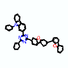 c1ccc(-c2nc(-c3ccc4c(c3)oc3cc(-c5cccc6c5oc5ccccc56)ccc34)nc(-c3ccc4c5ccccc5n(-c5ccccc5)c4c3)n2)cc1